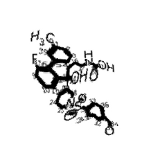 Cc1cccc(-c2c(F)cccc2C(O)(CCCNC(=O)O)[C@@H]2CCCN(S(=O)(=O)c3ccc(C=O)cc3)C2)c1